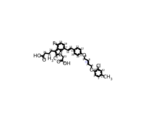 Cc1ccc(OC/C=C/COc2ccc(C=Cc3ccc(F)c4c(CCCC(=O)O)c(C)n(CC(=O)O)c34)cc2)c(Cl)c1